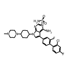 CN1CCN(C2CCC(n3cc(-c4ccc(-c5ccc(F)cc5Cl)c(F)c4)c4c(N)ncnc43)CC2)CC1.N[SH](=O)=O